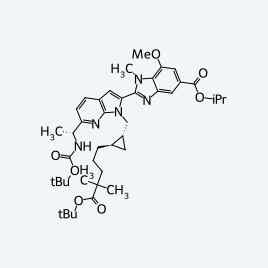 COc1cc(C(=O)OC(C)C)cc2nc(-c3cc4ccc([C@@H](C)NC(=O)OC(C)(C)C)nc4n3C[C@@H]3C[C@H]3CCCC(C)(C)C(=O)OC(C)(C)C)n(C)c12